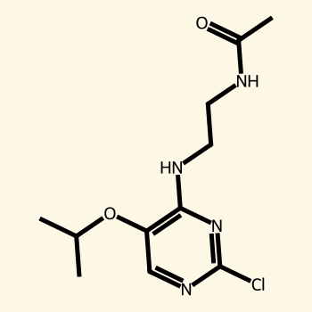 CC(=O)NCCNc1nc(Cl)ncc1OC(C)C